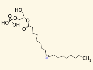 CCCCCCCC/C=C\CCCCCCCC(=O)OC(CO)COP(=O)(O)O